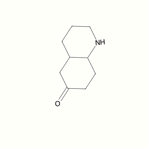 O=C1CCC2NCCCC2C1